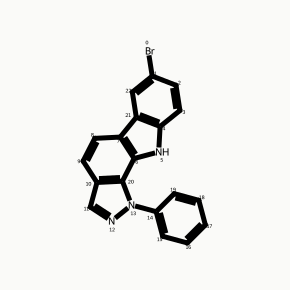 Brc1ccc2[nH]c3c(ccc4cnn(-c5ccccc5)c43)c2c1